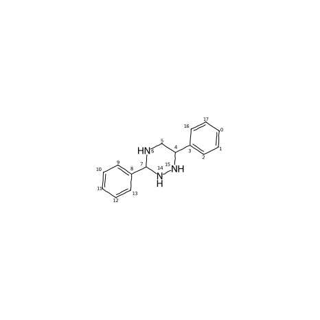 c1ccc(C2CNC(c3ccccc3)NN2)cc1